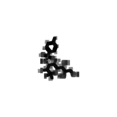 Cc1ccc(S(=O)(=O)N[C@H]2C(F)C(C)(F)O[C@@H]([C@H](O)[C@H](O)CO)[C@@H]2C)cc1